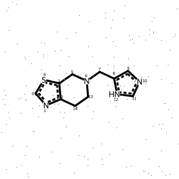 [c]1nc2c(s1)CN(Cc1cnc[nH]1)CC2